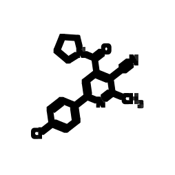 Cc1nc(-c2ccc(Cl)cc2)cc(C(=O)N2CCCC2)c1C#N